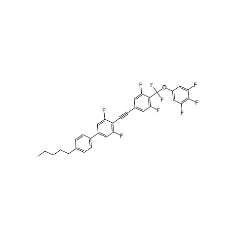 CCCCCc1ccc(-c2cc(F)c(C#Cc3cc(F)c(C(F)(F)Oc4cc(F)c(F)c(F)c4)c(F)c3)c(F)c2)cc1